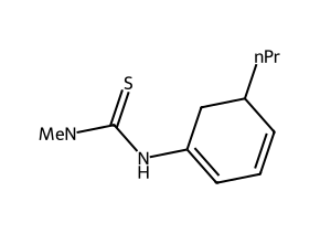 CCCC1C=CC=C(NC(=S)NC)C1